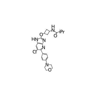 CC(C)C(=O)NC1CC(Oc2nc3nc(-c4ccc(N5CCOCC5)cc4)c(Cl)cc3[nH]2)C1